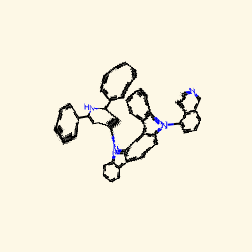 C1=C(c2ccccc2)NC(c2ccccc2)C=C1n1c2ccccc2c2ccc3c(c4ccccc4n3-c3cccc4cnccc34)c21